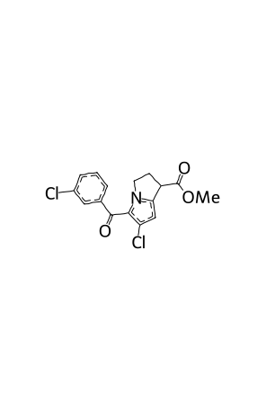 COC(=O)C1CCn2c1cc(Cl)c2C(=O)c1cccc(Cl)c1